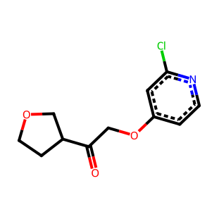 O=C(COc1ccnc(Cl)c1)C1CCOC1